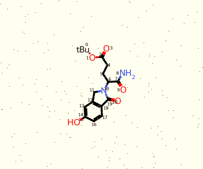 CC(C)(C)OC(=O)CCC(C(N)=O)N1Cc2cc(O)ccc2C1=O